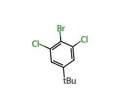 CC(C)(C)c1cc(Cl)c(Br)c(Cl)c1